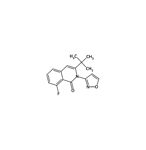 CC(C)(C)c1cc2cccc(F)c2c(=O)n1-c1ccon1